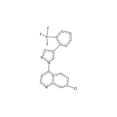 FC(F)(F)c1ccccc1-c1[c]n(-c2ccnc3cc(Cl)ccc23)nc1